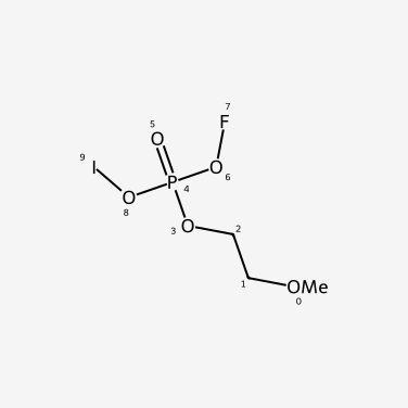 COCCOP(=O)(OF)OI